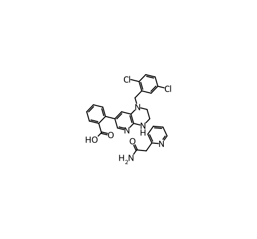 NC(=O)Cc1ccccn1.O=C(O)c1ccccc1-c1cnc2c(c1)N(Cc1cc(Cl)ccc1Cl)CCN2